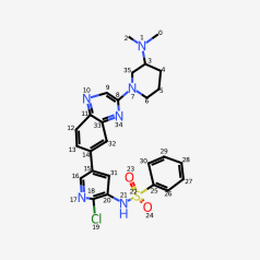 CN(C)C1CCCN(c2cnc3ccc(-c4cnc(Cl)c(NS(=O)(=O)c5ccccc5)c4)cc3n2)C1